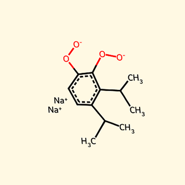 CC(C)c1ccc(O[O-])c(O[O-])c1C(C)C.[Na+].[Na+]